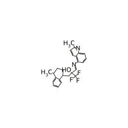 Cc1ccc2c(N=CC(O)(CC3CCC(C)c4ccccc43)C(F)(F)F)cccc2n1